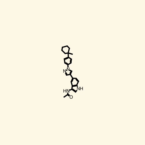 CC(=O)Nc1c[nH]c2ccc(-c3cnn(-c4ccc(C5(C)CCCCC5)cc4)c3)cc12